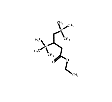 CCOC(=O)CC(C[N+](C)(C)C)[N+](C)(C)C